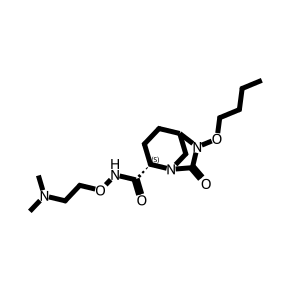 CCCCON1C(=O)N2CC1CC[C@H]2C(=O)NOCCN(C)C